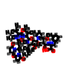 CC[C@H](C)[C@@H]([C@@H](CC(=O)N1CCC[C@H]1[C@H](OC)[C@@H](C)C(=O)N[C@@H](Cc1ccccc1)C(=O)O)OC)N(C)C(=O)[C@@H](NC(=O)C(C(C)C)N(C)C(=O)CCC(CN1C(=O)C=CC1=O)N1C(=O)C=CC1=O)C(C)C